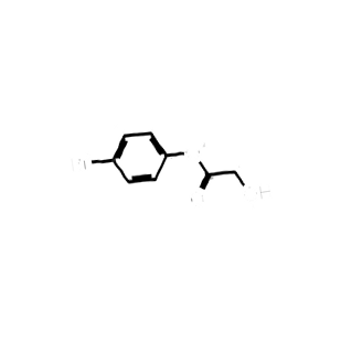 O=C(CO)Oc1ccc(Br)cc1